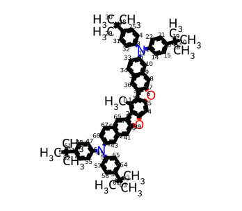 Cc1c2c(cc3oc4cc5cc(N(c6ccc(C(C)(C)C)cc6)c6ccc(C(C)(C)C)cc6)ccc5cc4c13)oc1cc3cc(N(c4ccc(C(C)(C)C)cc4)c4ccc(C(C)(C)C)cc4)ccc3cc12